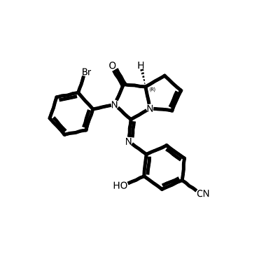 N#Cc1ccc(N=C2N(c3ccccc3Br)C(=O)[C@H]3CC=CN23)c(O)c1